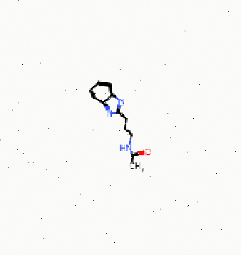 CC(=O)NCCCC1=NC2=C=CC=CC2=N1